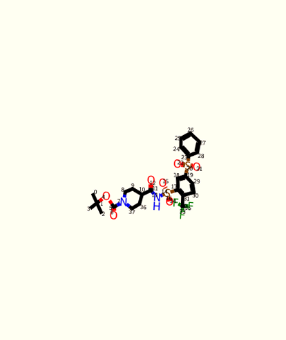 CC(C)(C)OC(=O)N1CCC(C(=O)NS(=O)(=O)c2cc(S(=O)(=O)c3ccccc3)ccc2C(F)(F)F)CC1